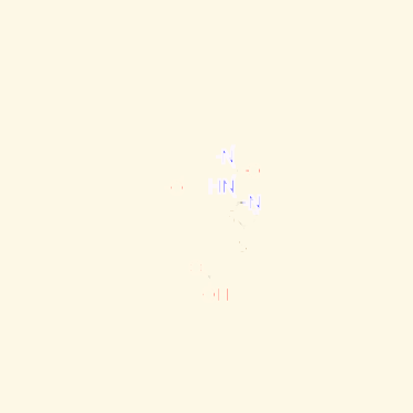 CCOCCCN(C(=O)Nc1ncc(SCCC(=O)O)s1)C1CCCCC1